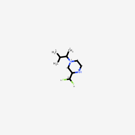 CC(C)C(C)N1CCNC(C(F)F)C1